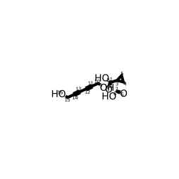 O=C(O)C1CC1.O=CO.OCC#CC#CCO